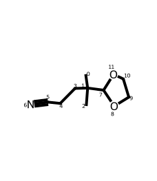 CC(C)(CCC#N)C1OCCO1